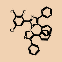 Clc1cc(Cl)c(Cl)c(-c2nc(-c3ccccc3)c(-c3ccccc3)n2-n2cnc(-c3ccccc3)c2-c2ccccc2)c1